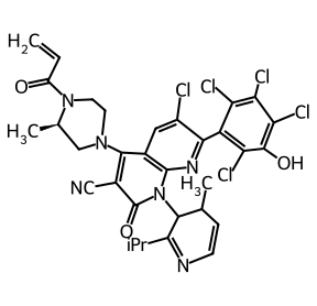 C=CC(=O)N1CCN(c2c(C#N)c(=O)n(C3C(C(C)C)=NC=CC3C)c3nc(-c4c(Cl)c(O)c(Cl)c(Cl)c4Cl)c(Cl)cc23)C[C@H]1C